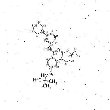 CC(C)(C)NSc1ccc(C(=O)Nc2cccc(N3CCOCC3)n2)c(N2CCC3(CC2)CC3)c1